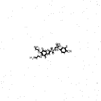 N#Cc1ccc(OP(=O)(O)CNS(=O)(=O)c2cc3c(F)c(OCCN)c(OCCN)c(F)c3s2)cc1F